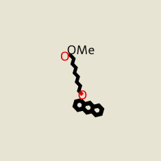 COC(=O)CCCCCCCCOc1cccc2cc3ccccc3cc12